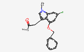 CCn1cc(CC(=O)OC)c2c(OCc3ccccc3)cc(F)cc21